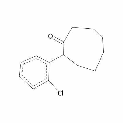 O=C1CCCCCCC1c1ccccc1Cl